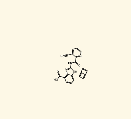 C#Cc1cccnc1C(=O)Nc1nc2c(C(=O)O)cccc2[nH]1.c1cc2ccc1-2